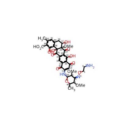 COC1/C(=N/OCCN)C(OC)C(NC2=CC(=O)c3c(cc4c(c3O)C(=O)C3(OC)C(O)Cc5cc(C)c(C(=O)O)c(O)c5C3(O)C4=O)C2=O)OC1C